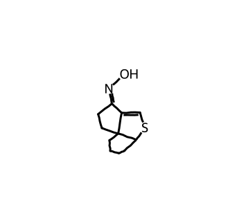 ON=C1CCC23CCCCC2SC=C13